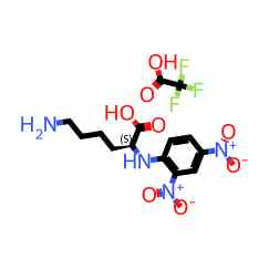 NCCCC[C@H](Nc1ccc([N+](=O)[O-])cc1[N+](=O)[O-])C(=O)O.O=C(O)C(F)(F)F